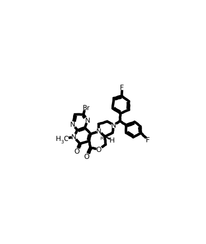 Cn1c(=O)c2c(c3nc(Br)cnc31)N1CCN(C(c3ccc(F)cc3)c3ccc(F)cc3)C[C@@H]1COC2=O